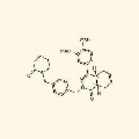 COc1ccc(C2=NN(Cc3ccc(CN4CCCCC4=O)cc3)C(=O)[C@H]3CC=CC[C@@H]23)cc1OC